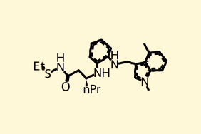 CCC[C@@H](CC(=O)NSCC)Nc1ccccc1NCc1cn(C)c2cccc(C)c12